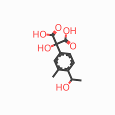 Cc1cc(C(O)(C(=O)O)C(=O)O)ccc1C(C)O